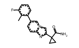 Cc1c(F)cccc1-c1ccc2nc(C3(C(N)=O)CC3)cn2c1